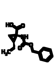 CC[C@@H]1C[C@]1(NC(=O)OCc1ccccc1)C(=O)O